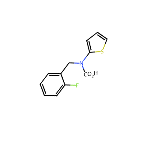 O=C(O)N(Cc1ccccc1F)c1cccs1